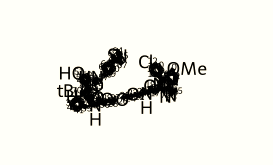 COc1ccc2c(c1)C(c1ccc(Cl)cc1)=NC(CC(=O)NCCOCCOCCOCC(=O)N[C@@H](Cc1ccccc1)C(=O)N[C@H](C(=O)N1C[C@H](O)C[C@H]1C(=O)NCc1ccc(-c3scnc3C)cc1)C(C)(C)C)c1nnc(C)n1-2